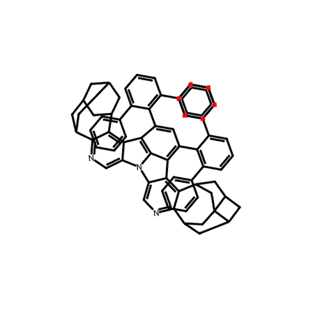 c1ccc(-c2cccc(-c3ccccc3)c2-c2cc(-c3c(-c4ccccc4)cccc3-c3ccccc3)c3c4c5c(ncc4n4c6cnc7c(c6c2c34)C2CC3CC(CC7C3)C2)C2CC3CC4CC5CC34C2)cc1